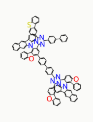 c1ccc(-c2ccc(-c3nc(-c4ccc5sc6ccccc6c5c4)nc(-c4cc(-c5ccc(-c6ccc(-c7nc(-c8ccc9oc%10ccccc%10c9c8)nc(-c8ccc9oc%10ccccc%10c9c8-n8c9ccccc9c9cc%10ccccc%10cc98)n7)cc6)cc5)c5oc6ccccc6c5c4-n4c5ccccc5c5cc6ccccc6cc54)n3)cc2)cc1